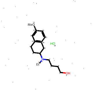 CCN(CCCCO)C1CCc2cc(OC)ccc2C1.Cl